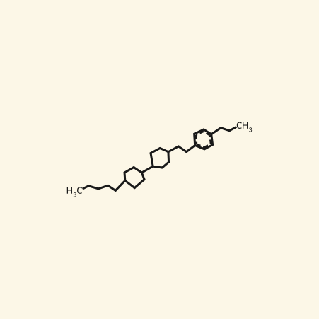 CCCCCC1CCC(C2CCC(CCc3ccc(CCC)cc3)CC2)CC1